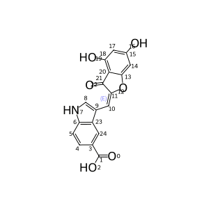 O=C(O)c1ccc2[nH]cc(/C=C3/Oc4cc(O)cc(O)c4C3=O)c2c1